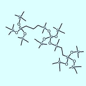 C[Si](C)(C)O[Si](CCC[Si](C)(C)O[Si](O[Si](C)(C)C)(O[Si](C)(C)C)O[Si](C)(C)CC[Si](O[Si](C)(C)C)(O[Si](C)(C)C)O[Si](C)(C)C)(O[Si](C)(C)C)O[Si](C)(C)C